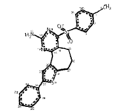 Cc1ccc(S(=O)(=O)c2nc(N)nc3c2CCCc2sc(-c4ccccc4)cc2-3)cc1